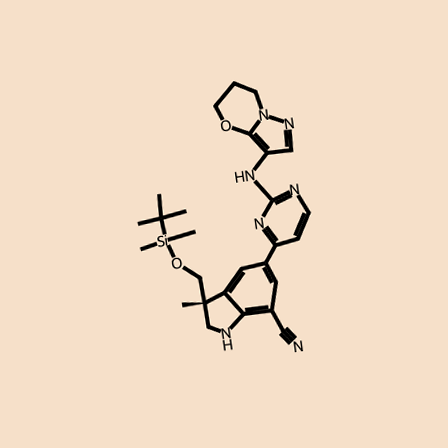 CC(C)(C)[Si](C)(C)OC[C@@]1(C)CNc2c(C#N)cc(-c3ccnc(Nc4cnn5c4OCCC5)n3)cc21